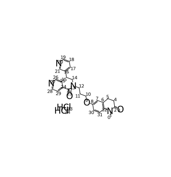 CN1C(=O)CCc2cc(OCCCN(CCc3cccnc3)C(=O)c3ccncc3)ccc21.Cl.Cl